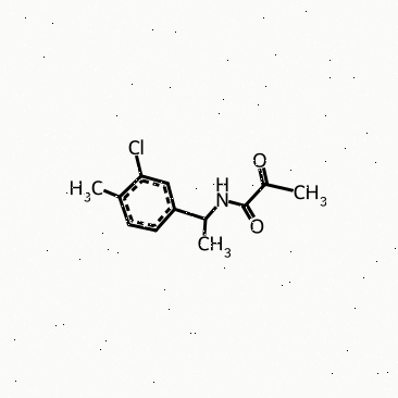 CC(=O)C(=O)NC(C)c1ccc(C)c(Cl)c1